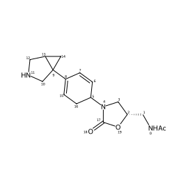 CC(=O)NC[C@H]1CN(C2C=CC(C34CNCC3C4)=CC2)C(=O)O1